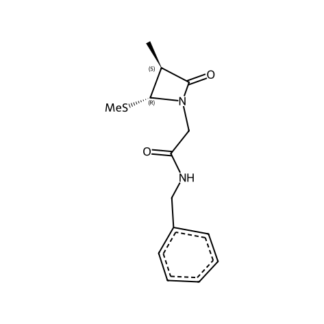 CS[C@@H]1[C@@H](C)C(=O)N1CC(=O)NCc1ccccc1